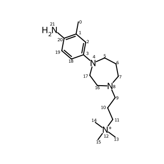 Cc1cc(N2CCCN(CCC[N+](C)(C)C)CC2)ccc1N